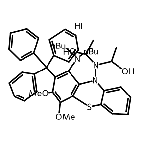 CCCCN(CCCC)c1c2c(c(OC)c(OC)c1C(c1ccccc1)(c1ccccc1)c1ccccc1)Sc1ccccc1N2N(C(C)O)C(C)O.I